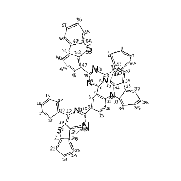 c1ccc(-c2nc(-c3cc(-c4nc(-c5ccccc5)c5sc6ccccc6c5n4)ccc3-n3c4ccccc4c4ccccc43)nc(-c3cccc4c3sc3ccccc34)n2)cc1